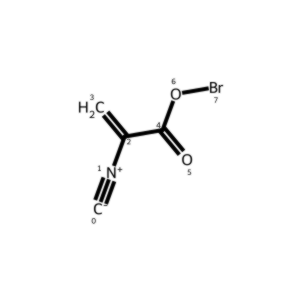 [C-]#[N+]C(=C)C(=O)OBr